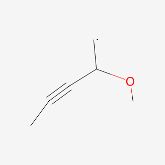 [CH2]C(C#CC)OC